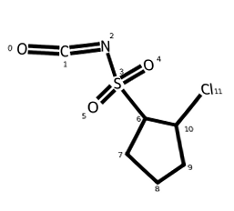 O=C=NS(=O)(=O)C1CCCC1Cl